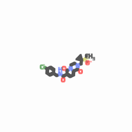 C[S@@+]([O-])C1(CN2CCn3c(ccc(C(=O)NCc4ccc(Cl)cc4)c3=O)C2=O)CC1